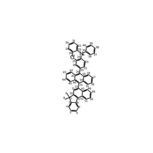 CC1(C)c2ccccc2-c2c1cc(-c1c3ccccc3c(-c3ccc4c(c3)Oc3ccccc3N4c3ccccc3)c3ccccc13)c1ccccc21